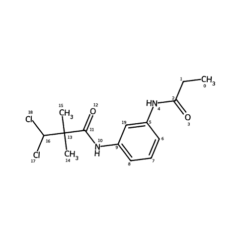 CCC(=O)Nc1cccc(NC(=O)C(C)(C)C(Cl)Cl)c1